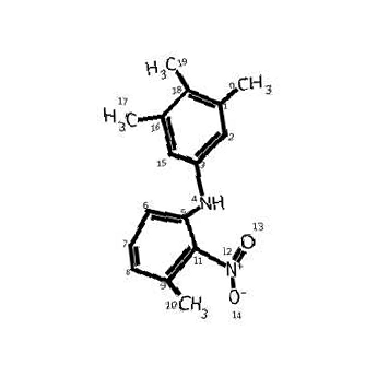 Cc1cc(Nc2cccc(C)c2[N+](=O)[O-])cc(C)c1C